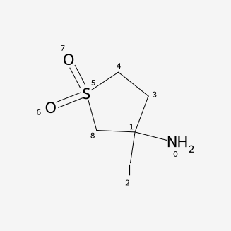 NC1(I)CCS(=O)(=O)C1